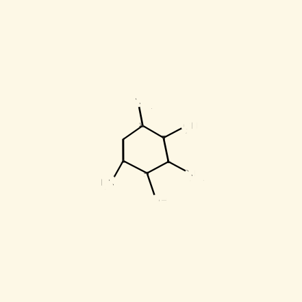 NC1CC(N)C(O)C(N)C1O